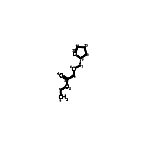 CCOC(=O)COC[C@H]1CCCO1